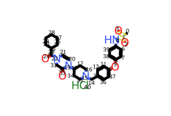 CS(=O)(=O)Nc1ccc(Oc2ccc(CN3CCC(N4C=CN(C(=O)C5CCCCC5)CC4=O)CC3)cc2)cc1.Cl